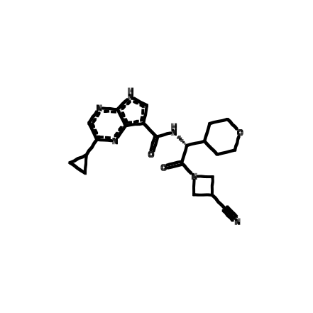 N#CC1CN(C(=O)[C@H](NC(=O)c2c[nH]c3ncc(C4CC4)nc23)C2CCOCC2)C1